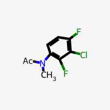 CC(=O)N(C)c1ccc(F)c(Cl)c1F